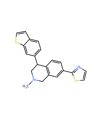 CN1Cc2cc(-c3nccs3)ccc2C(c2ccc3ccsc3c2)C1